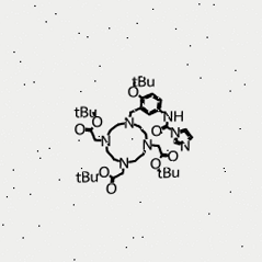 CC(C)(C)OC(=O)CN1CCN(CC(=O)OC(C)(C)C)CCN(Cc2cc(NC(=O)n3ccnc3)ccc2OC(C)(C)C)CCN(CC(=O)OC(C)(C)C)CC1